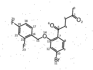 CC(=O)CCC(=O)c1ccc(Br)cc1OCc1ccc(F)cc1F